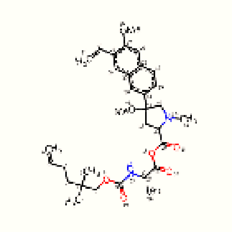 C=CCCC(C)(C)COC(=O)N[C@H](C(=O)OC(=O)C1CC(OC)(c2ccc3cc(OC)c(C=C)cc3c2)CN1C)C(C)(C)C